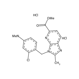 CNc1ccc(Cn2c(C)nc3ccc(C(=O)OC)nc32)c(Cl)c1.Cl.Cl